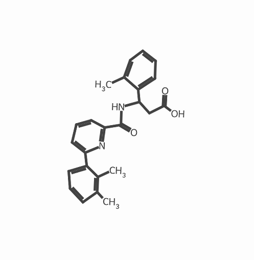 Cc1ccccc1C(CC(=O)O)NC(=O)c1cccc(-c2cccc(C)c2C)n1